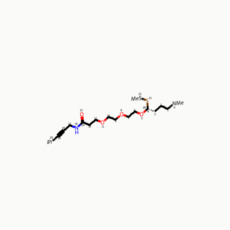 CNCCC[C@H](OCCOCCOCCC(=O)NCC#CC(C)C)SSC